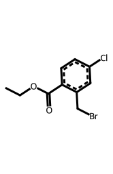 CCOC(=O)c1ccc(Cl)cc1CBr